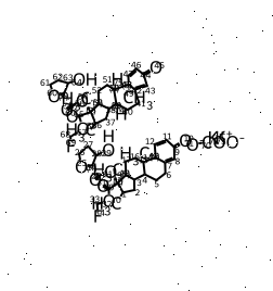 CC1CC2C3CCC4=CC(=O)C=C[C@]4(C)C3CC[C@]2(C)[C@@]1(OC(=O)[C@@H]1OCCC1O)C(=O)OCF.CC1CC2[C@H]3CCC4=CC(=O)C=C[C@]4(C)[C@@H]3CC[C@]2(C)[C@@]1(OC(=O)[C@@H]1OCCC1O)C(=O)OCF.O=C([O-])[O-].[K+].[K+]